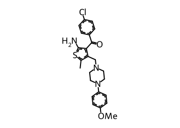 COc1ccc(N2CCN(Cc3c(C)sc(N)c3C(=O)c3ccc(Cl)cc3)CC2)cc1